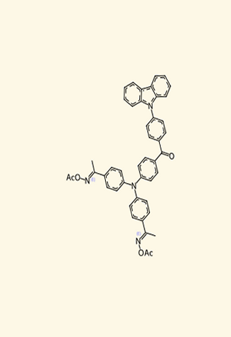 CC(=O)O/N=C(\C)c1ccc(N(c2ccc(C(=O)c3ccc(-n4c5ccccc5c5ccccc54)cc3)cc2)c2ccc(/C(C)=N/OC(C)=O)cc2)cc1